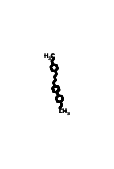 CCCC1CCC(CCCCc2ccc(C3CCC(CCC)CC3)cc2)CC1